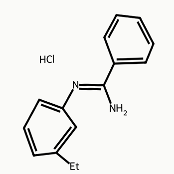 CCc1cccc(N=C(N)c2ccccc2)c1.Cl